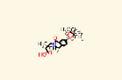 CC(C)(CC(=O)O)CN1CCc2ccc(B3OC(C)(C)C(C)(C)O3)cc2C1=O